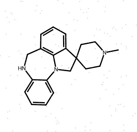 CN1CCC2(CC1)CN1c3ccccc3NCc3cccc2c31